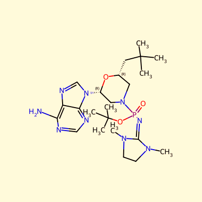 CN1CCN(C)C1=NP(=O)(OC(C)(C)C)N1C[C@@H](CC(C)(C)C)O[C@@H](n2cnc3c(N)ncnc32)C1